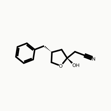 N#CC[C@@]1(O)C[C@@H](Cc2ccccc2)CO1